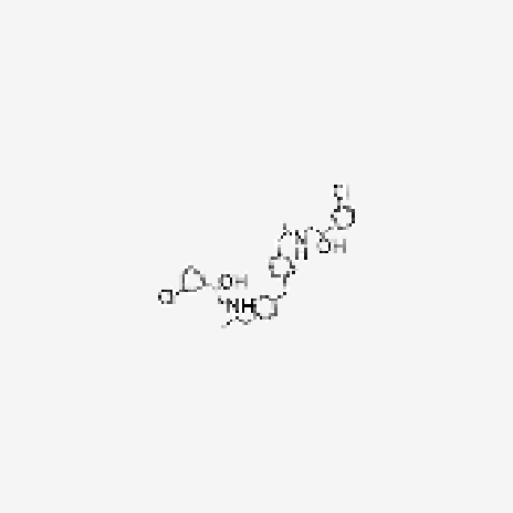 CC(Cc1ccc(Cc2ccc(CC(C)NC[C@H](O)c3cccc(Cl)c3)cc2)cc1)NCC(O)c1cccc(Cl)c1